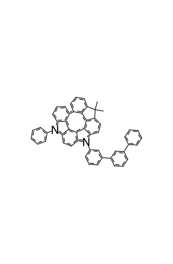 CC1(C)c2cccc3c4cccc5c4c4c6c7c(c1ccc7n(-c1cccc(-c7cccc(-c8ccccc8)c7)c1)c6ccc4n5-c1ccccc1)c23